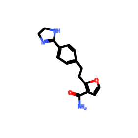 NC(=O)c1ccoc1CCc1ccc(C2=NCCN2)cc1